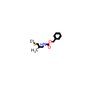 CCSCC(C)CNC(=O)OCc1ccccc1